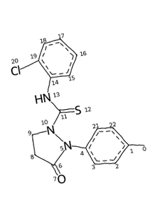 Cc1ccc(N2C(=O)CCN2C(=S)Nc2ccccc2Cl)cc1